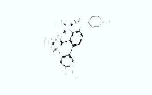 Nc1ccc(-c2ccc([S+]([O-])C3CCNCC3)c(S(N)(=O)=O)c2-c2nn[nH]n2)cn1